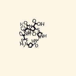 C[C@@H](NC(=O)C(F)F)[C@H]1C(=O)N2C(C(=O)O)=C(S[C@@H]3CN[C@H](CNC(=O)[C@H]4CC[C@@H](N)C4)C3)[C@H](C)[C@H]12